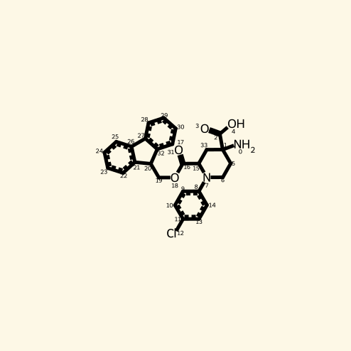 NC1(C(=O)O)CCN(c2ccc(Cl)cc2)C(C(=O)OCC2c3ccccc3-c3ccccc32)C1